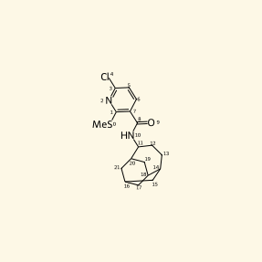 CSc1nc(Cl)ccc1C(=O)NC1CCC2CC3CC2CC1C3